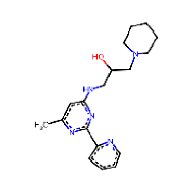 Cc1cc(NCC(O)CN2CCCCC2)nc(-c2ccccn2)n1